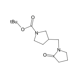 CC(C)(C)OC(=O)N1CCC(CN2CCCC2=O)C1